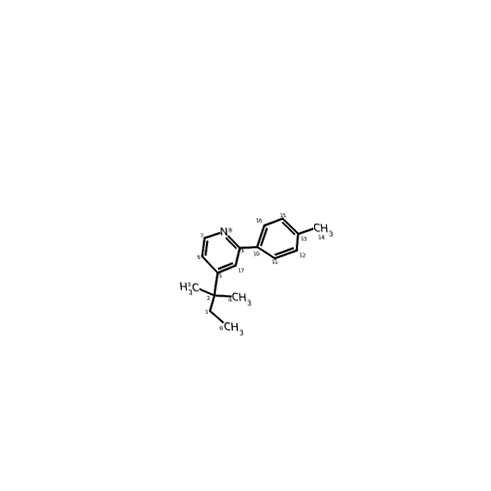 CCC(C)(C)c1ccnc(-c2ccc(C)cc2)c1